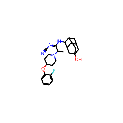 CC(/C(=N\C#N)NC1C2CC3CC1CC(O)(C3)C2)N1CCC(Oc2ccccc2F)CC1